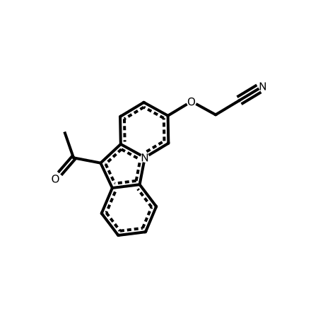 CC(=O)c1c2ccccc2n2cc(OCC#N)ccc12